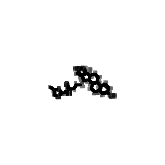 Cc1cnc(NC(=O)CCC[C@@H]2c3c[nH]nc3[C@@]3(C)CCC4c5ccc(O)cc5CCC4C23)s1